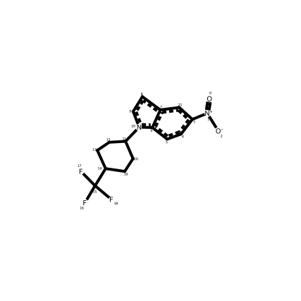 O=[N+]([O-])c1ccc2c(ccn2C2CCC(C(F)(F)F)CC2)c1